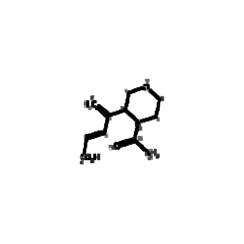 C=C(C=CC(=O)O)C1COCCN1C(N)=O